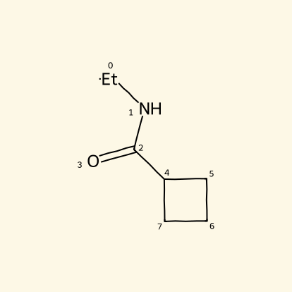 C[CH]NC(=O)C1CCC1